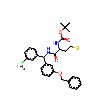 C.CC(C)(C)OC(=O)NC(CCS)C(=O)NC(c1cccc(Cl)c1)c1cccc(OCc2ccccc2)c1